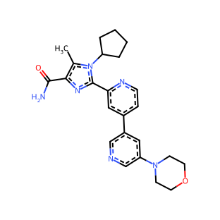 Cc1c(C(N)=O)nc(-c2cc(-c3cncc(N4CCOCC4)c3)ccn2)n1C1CCCC1